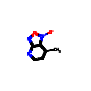 Cc1ccnc2no[n+]([O-])c12